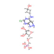 CC1(O)CC(Nc2nc(Cl)nc3c2cnn3[C@@H]2O[C@H](COCP(=O)(O)O)[C@@H](O)[C@H]2O)C1